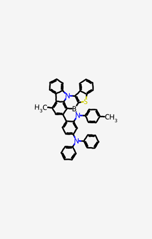 Cc1ccc(N2B3c4sc5ccccc5c4-n4c5ccccc5c5c(C)cc(c3c54)-c3ccc(N(c4ccccc4)c4ccccc4)cc32)cc1